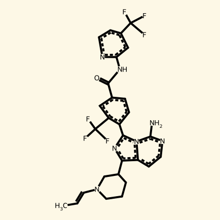 CC=CN1CCCC(c2nc(-c3ccc(C(=O)Nc4cc(C(F)(F)F)ccn4)cc3C(F)(F)F)n3c(N)nccc23)C1